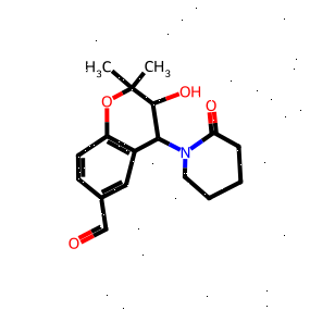 CC1(C)Oc2ccc(C=O)cc2C(N2CCCCC2=O)C1O